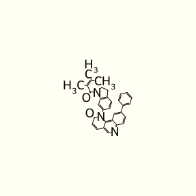 CC(C)=C(C)C(=O)N1CCc2ccc(-n3c(=O)ccc4cnc5ccc(-c6ccccc6)cc5c43)cc21